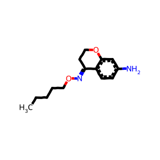 CCCCCO/N=C1\CCOc2cc(N)ccc21